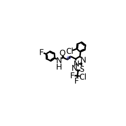 O=C(/C=C/C1C(c2ccccc2Cl)N=C2SC(C(F)(F)Cl)=NN21)Nc1ccc(F)cc1